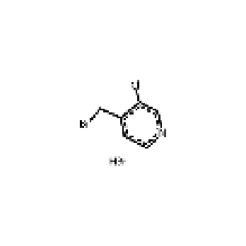 Br.Clc1cnccc1CBr